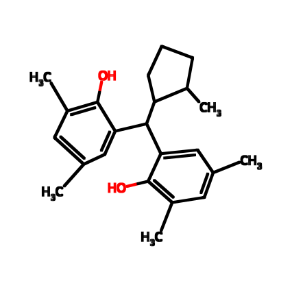 Cc1cc(C)c(O)c(C(c2cc(C)cc(C)c2O)C2CCCC2C)c1